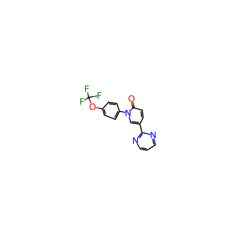 O=c1ccc(-c2ncccn2)cn1-c1ccc(OC(F)(F)F)cc1